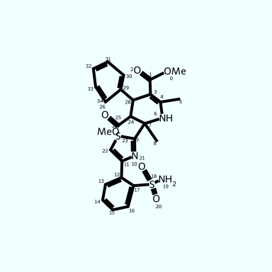 COC(=O)C1=C(C)NC(C)(c2nc(-c3ccccc3S(N)(=O)=O)cs2)C(C(=O)OC)C1c1ccccc1